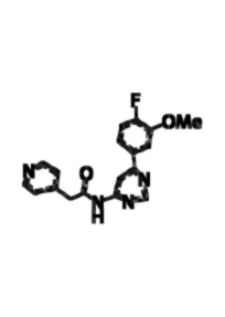 COc1cc(-c2cc(NC(=O)Cc3ccncc3)ncn2)ccc1F